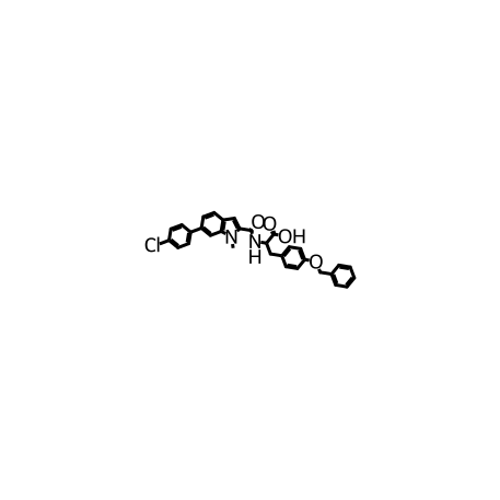 Cn1c(C(=O)NC(Cc2ccc(OCc3ccccc3)cc2)C(=O)O)cc2ccc(-c3ccc(Cl)cc3)cc21